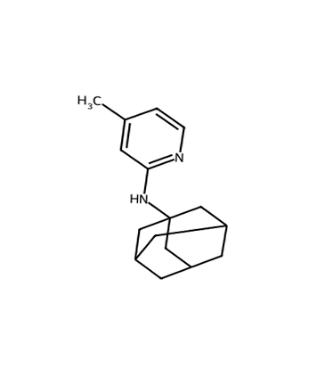 Cc1ccnc(NC23CC4CC(CC(C4)C2)C3)c1